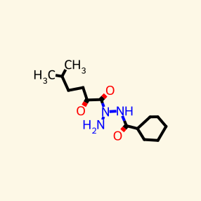 CC(C)CCC(=O)C(=O)N(N)NC(=O)C1CCCCC1